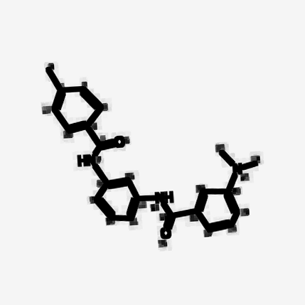 Cc1ccc(C(=O)Nc2cccc(NC(=O)c3cccc(N(C)C)c3)c2)cc1